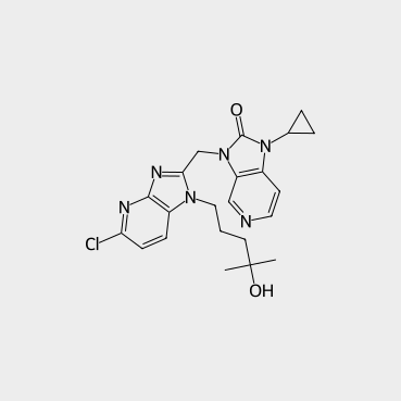 CC(C)(O)CCCn1c(Cn2c(=O)n(C3CC3)c3ccncc32)nc2nc(Cl)ccc21